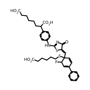 O=C(O)CCCCCSC1(C=C2SC(Nc3ccc(C(CCCCCC(=O)O)C(=O)O)cc3)=NC2=O)C=CC(c2ccccc2)=CC1F